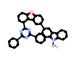 Cn1c2ccccc2c2cc(-c3ccc4oc5cccc(-c6nc(-c7ccccc7)nc(-c7ccccc7)n6)c5c4c3)ccc21